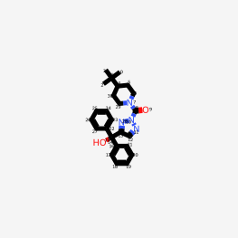 CC(C)(C)C1CCN(C(=O)n2ncc(C(O)(c3ccccc3)c3ccccc3)n2)CC1